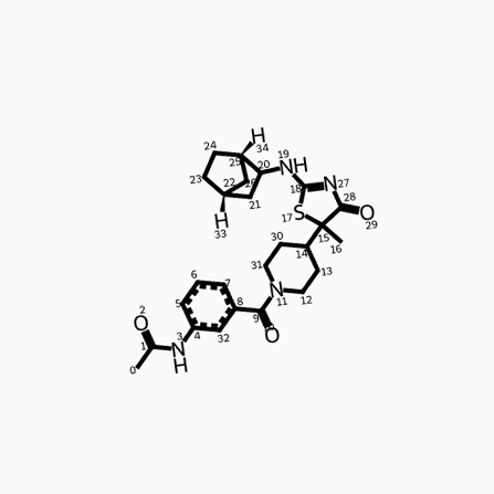 CC(=O)Nc1cccc(C(=O)N2CCC(C3(C)SC(NC4C[C@@H]5CC[C@H]4C5)=NC3=O)CC2)c1